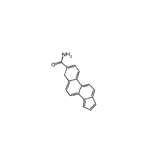 NC(=O)C1=CC=c2c(ccc3c4c(ccc23)C=CC=4)C1